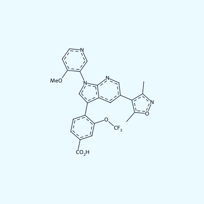 COc1ccncc1-n1cc(-c2ccc(C(=O)O)cc2OC(F)(F)F)c2cc(-c3c(C)noc3C)cnc21